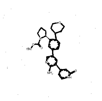 CC(C)(C)OC(=O)N1CCC[C@H]1c1cc(-c2cnc(N)c(-c3cc[nH]c(=O)c3)c2)ccc1C1CCOCC1